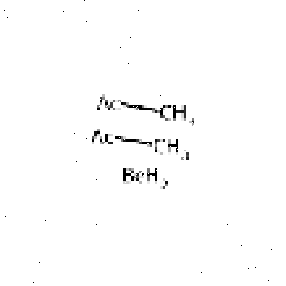 CC(C)=O.CC(C)=O.[BeH2]